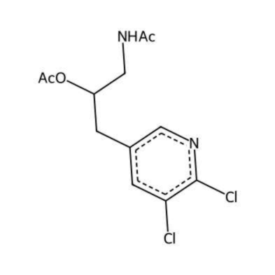 CC(=O)NCC(Cc1cnc(Cl)c(Cl)c1)OC(C)=O